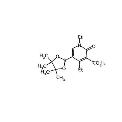 CCc1c(B2OC(C)(C)C(C)(C)O2)cn(CC)c(=O)c1C(=O)O